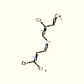 C=C\C(O)=C/P=C\C=C(/C)CC